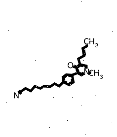 CCC=CCc1cn(C)cc(-c2ccc(CCCCCCCCC#N)cc2)c1=O